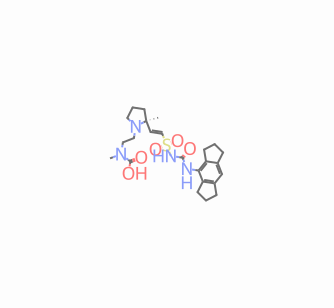 CN(CCN1CCC[C@@]1(C)/C=C/S(=O)(=O)NC(=O)Nc1c2c(cc3c1CCC3)CCC2)C(=O)O